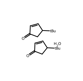 CC(C)(C)C1C=CC(=O)C1.CC(C)(C)C1C=CC(=O)C1.O